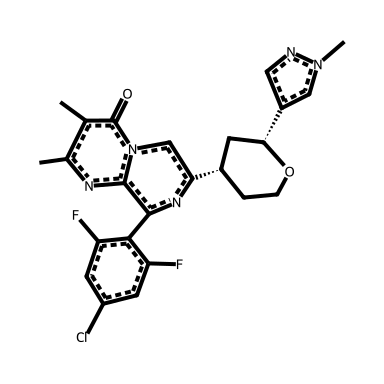 Cc1nc2c(-c3c(F)cc(Cl)cc3F)nc([C@H]3CCO[C@@H](c4cnn(C)c4)C3)cn2c(=O)c1C